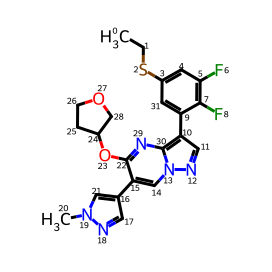 CCSc1cc(F)c(F)c(-c2cnn3cc(-c4cnn(C)c4)c(OC4CCOC4)nc23)c1